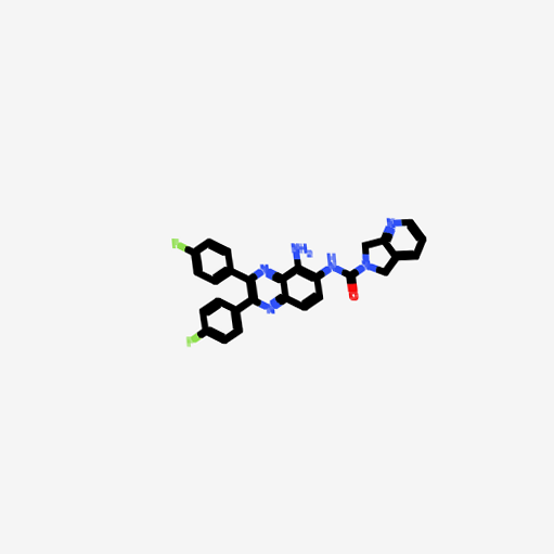 Nc1c(NC(=O)N2Cc3cccnc3C2)ccc2nc(-c3ccc(F)cc3)c(-c3ccc(F)cc3)nc12